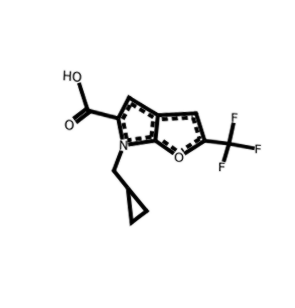 O=C(O)c1cc2cc(C(F)(F)F)oc2n1CC1CC1